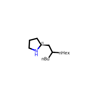 CCCCCCC(CCCC)C[C@@H]1CCCN1